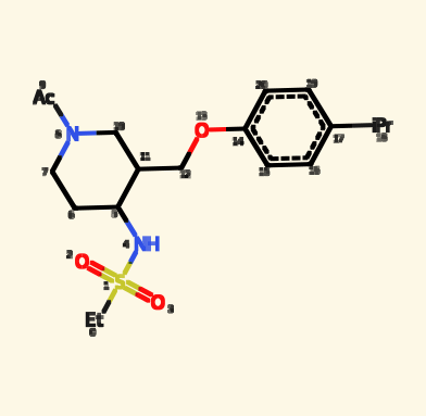 CCS(=O)(=O)NC1CCN(C(C)=O)CC1COc1ccc(C(C)C)cc1